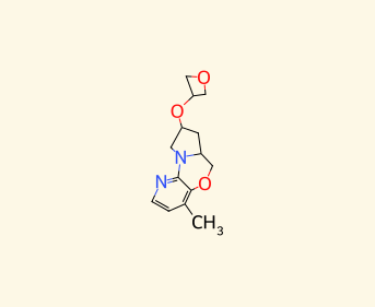 Cc1ccnc2c1OCC1CC(OC3COC3)CN21